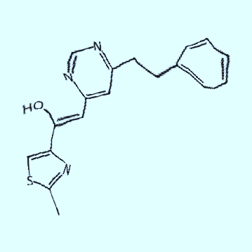 Cc1nc(/C(O)=C/c2cc(CCc3ccccc3)ncn2)cs1